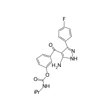 CC(C)NC(=O)Oc1cccc(C(=O)c2c(-c3ccc(F)cc3)n[nH]c2N)c1